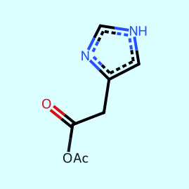 CC(=O)OC(=O)Cc1c[nH]cn1